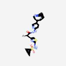 CCC(C(=O)Nc1ccc(-c2cccnc2)cn1)c1csc(NS(=O)(=O)C2CC2)n1